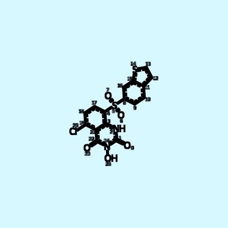 O=c1[nH]c2c(S(=O)(=O)c3ccc4ccsc4c3)ccc(Cl)c2c(=O)n1O